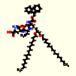 CCCCCCCCCCCCCCCCOC[C@H](CSC[C@H](NC(=O)OCC1c2ccccc2-c2ccccc21)C(=O)N[C@@H](CC)C(=O)N[C@H](CCC(=O)O)C(N)=O)OCCCCCCCCCCCCCCCC